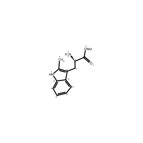 COC(=O)[C@H](N)Cc1c(C)[nH]c2ccccc12